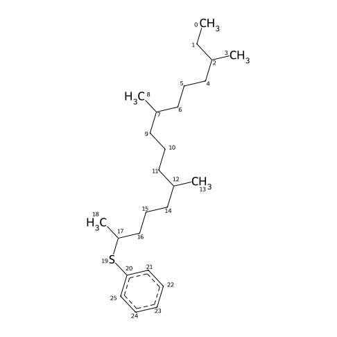 CCC(C)CCCC(C)CCCC(C)CCCC(C)Sc1ccccc1